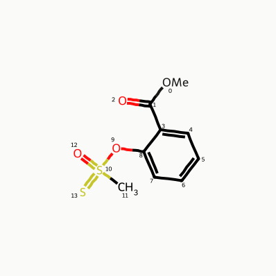 COC(=O)c1ccccc1OS(C)(=O)=S